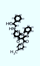 CN1CCN(C(=O)c2c(=O)c3ccc(NCC(O)c4ccccc4)nc3n3c2sc2ccccc23)CC1